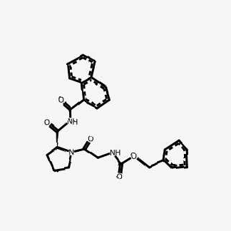 O=C(NCC(=O)N1CCC[C@H]1C(=O)NC(=O)c1cccc2ccccc12)OCc1ccccc1